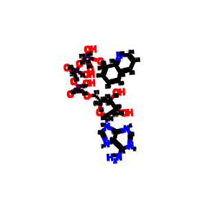 Nc1ncnc2c1ncn2[C@@H]1O[C@H](COP(=O)(O)OP(=O)(O)OP(=O)(O)Oc2cccc3cccnc23)[C@@H](O)[C@H]1O